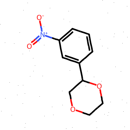 O=[N+]([O-])c1cccc(C2COCCO2)c1